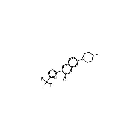 CN1CCN(c2ccc3cc(-c4nc(C(F)(F)F)cs4)c(=O)oc3c2)CC1